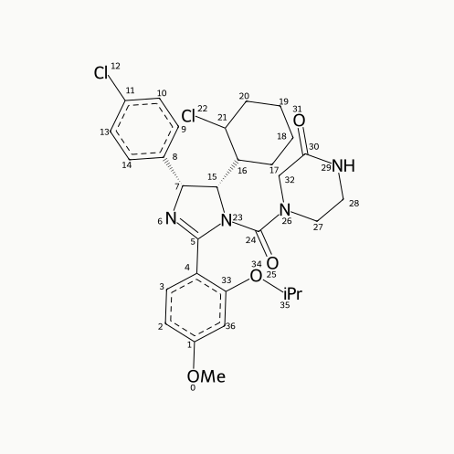 COc1ccc(C2=N[C@H](c3ccc(Cl)cc3)[C@H](C3CCCCC3Cl)N2C(=O)N2CCNC(=O)C2)c(OC(C)C)c1